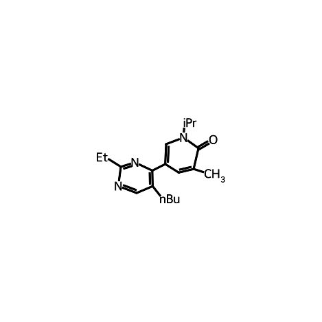 CCCCc1cnc(CC)nc1-c1cc(C)c(=O)n(C(C)C)c1